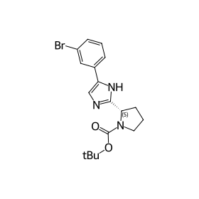 CC(C)(C)OC(=O)N1CCC[C@H]1c1ncc(-c2cccc(Br)c2)[nH]1